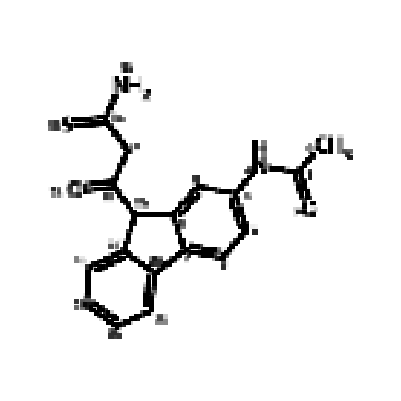 CC(=O)Nc1ccc2c(c1)C(C(=O)CC(N)=S)c1ccccc1-2